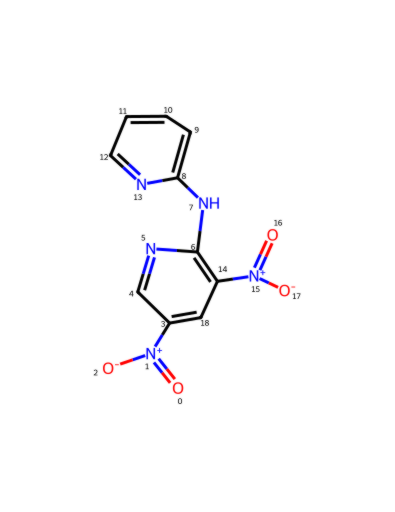 O=[N+]([O-])c1cnc(Nc2ccccn2)c([N+](=O)[O-])c1